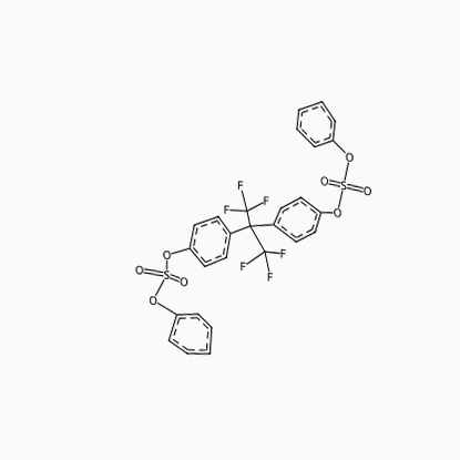 O=S(=O)(Oc1ccccc1)Oc1ccc(C(c2ccc(OS(=O)(=O)Oc3ccccc3)cc2)(C(F)(F)F)C(F)(F)F)cc1